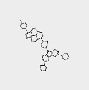 Cc1ccc(-c2ccc3ccc4c(-c5ccc(-n6c7ccc(-c8ccccc8)cc7c7cc(-c8ccccc8)ccc76)cc5)ccc5ccc2c3c54)cc1